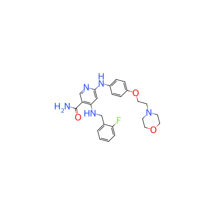 NC(=O)c1cnc(Nc2ccc(OCCN3CCOCC3)cc2)cc1NCc1ccccc1F